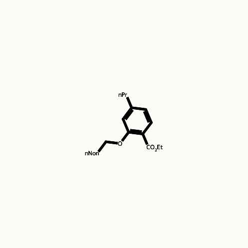 CCCCCCCCCCOc1cc(CCC)ccc1C(=O)OCC